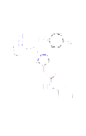 Cc1c(OC(=O)NC2CCCCC2)cc(-c2cc(Cl)ccc2F)n1CC1CCCN1